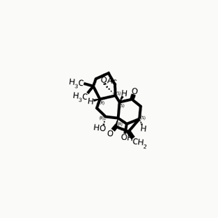 C=C1C(=O)[C@]23C(O)[C@H]1CC(=O)[C@H]2[C@]1(COC(C)=O)CCCC(C)(C)[C@H]1C[C@H]3O